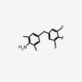 Cc1cc(Cc2cc(F)c(F)c(F)c2)cc(C)c1N